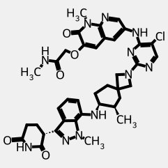 CNC(=O)COc1cc2cc(Nc3nc(N4CC5(CC[C@H](Nc6cccc7c([C@H]8CCC(=O)NC8=O)nn(C)c67)[C@H](C)C5)C4)ncc3Cl)cnc2n(C)c1=O